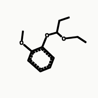 CCOC(CC)Oc1ccccc1OC